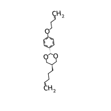 C=CCCC[C@H]1CO[C@H](c2ccc(OCCC=C)cc2)OC1